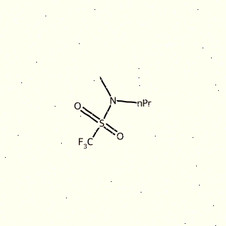 CCCN(C)S(=O)(=O)C(F)(F)F